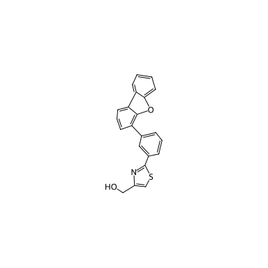 OCc1csc(-c2cccc(-c3cccc4c3oc3ccccc34)c2)n1